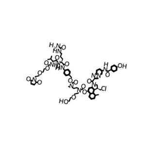 Cc1cccc2c(OC(=O)N(CCOCCO)CCN(C)C(=O)OCc3ccc(NC(=O)[C@H](CCCNC(N)=O)NC(=O)C(NC(=O)OCCOCCN4C(=O)C=CC4=O)C(C)C)cc3)cc3c(c12)[C@H](CCl)CN3C(=O)c1cn2cc(NC(=O)c3ccc(O)cc3)ccc2n1